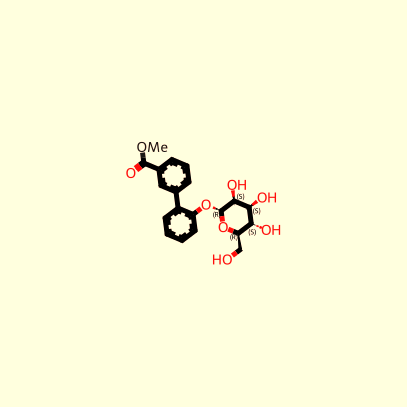 COC(=O)c1cccc(-c2ccccc2O[C@H]2O[C@H](CO)[C@@H](O)[C@H](O)[C@@H]2O)c1